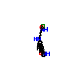 C[C@H]1[C@@]2(C)[C@@]3(C)CC[C@]4(C)[C@H](CC[C@@]5(C)CC(NCCCCCCNOCl)CC[C@@]54C)[C@@]3(C)C[C@@]2(C)O[C@@]12CCCCN2